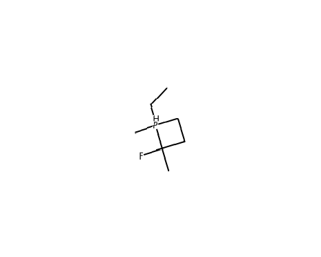 CC[PH]1(C)CCC1(C)F